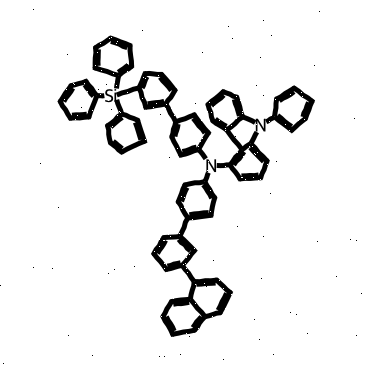 c1ccc(-n2c3ccccc3c3c(N(c4ccc(-c5cccc(-c6cccc7ccccc67)c5)cc4)c4ccc(-c5cccc([Si](c6ccccc6)(c6ccccc6)c6ccccc6)c5)cc4)cccc32)cc1